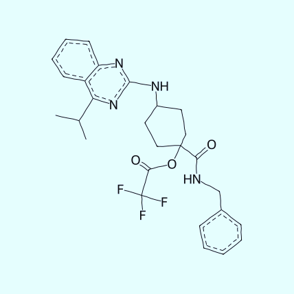 CC(C)c1nc(NC2CCC(OC(=O)C(F)(F)F)(C(=O)NCc3ccccc3)CC2)nc2ccccc12